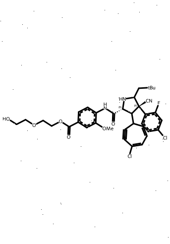 COc1cc(C(=O)OCCOCCO)ccc1NC(=O)[C@@H]1NC(CC(C)(C)C)[C@](C#N)(c2ccc(Cl)cc2F)C1C1C#CC(Cl)=CC=C1